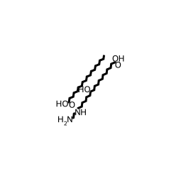 CCCCCCCCCCCCCCCCCC(=O)O.NCCNCCCCCCC(O)CCCCCCCCCCC(=O)O